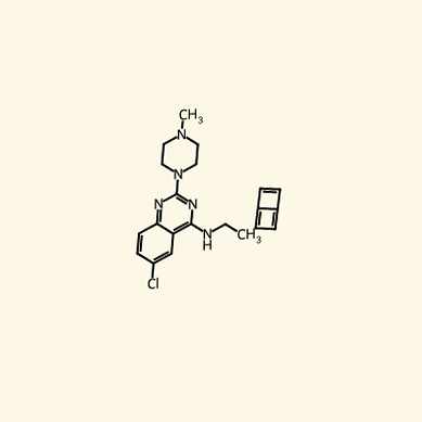 CCNc1nc(N2CCN(C)CC2)nc2ccc(Cl)cc12.c1cc2ccc1-2